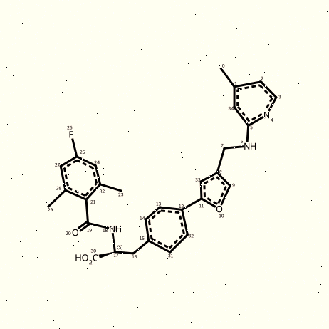 Cc1ccnc(NCc2coc(-c3ccc(C[C@H](NC(=O)c4c(C)cc(F)cc4C)C(=O)O)cc3)c2)c1